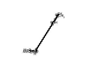 C=C(C)C(=O)OCCOCCNC(=O)OCCCCCCCCCCCCCCCCCCCCCCCCCCOC(=O)NCCC[Si](OC)(OC)OC